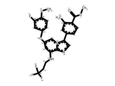 COC(=O)c1ccc(-c2cnc3c(NCCC(F)(F)F)cc(Oc4ccc(OC)c(F)c4)cn23)cc1C